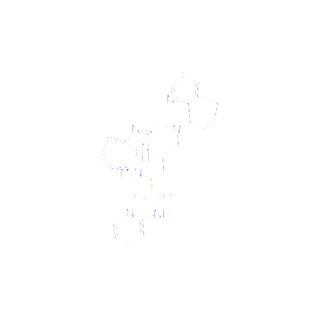 NC(CCCN(Cc1nc2ccccc2[nH]1)C1CCCc2cccnc21)S(=O)(=O)Nc1ccccn1